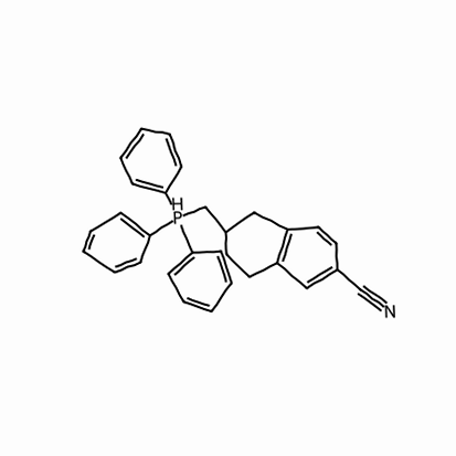 N#Cc1ccc2c(c1)CCC(C[PH](c1ccccc1)(c1ccccc1)c1ccccc1)C2